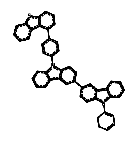 C1=CCCC(n2c3ccccc3c3cc(-c4ccc5c(c4)c4ccccc4n5-c4ccc(-c5cccc6sc7ccccc7c56)cc4)ccc32)=C1